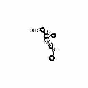 O=Cc1cccc(-c2cc3cnc(N4CCC(NCCc5ccccc5)CC4)nc3n(C3CCCC3)c2=O)c1